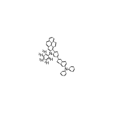 [2H]c1c([2H])c([2H])c(-n2c3cc(-c4ccc5cc(N(c6ccccc6)c6ccccc6)ccc5c4)ccc3c3c4ccc5cccc6ccc(cc32)c4c65)c([2H])c1[2H]